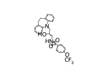 O=S(=O)(N/C=C(\O)CN1c2ccccc2CCc2ccccc21)c1ccc(OC(F)(F)F)cc1